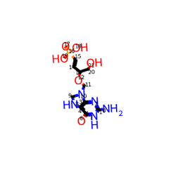 Nc1nc2c(c(=O)[nH]1)NCN2COC(C=CP(=O)(O)O)CO